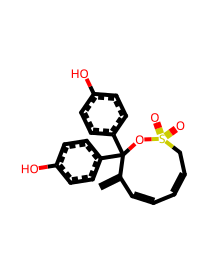 C=C1/C=C\C=C/CS(=O)(=O)OC1(c1ccc(O)cc1)c1ccc(O)cc1